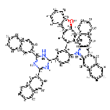 c1ccc2cc(C3=NC(c4ccc(-n5c6cc7ccccc7cc6c6cc7ccccc7cc65)c(-c5ccc6oc7ccccc7c6c5)c4)NC(c4ccc5ccccc5c4)=N3)ccc2c1